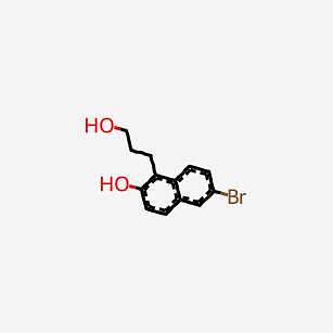 OCCCc1c(O)ccc2cc(Br)ccc12